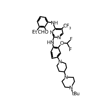 CCc1cccc(Nc2nc(Nc3ccc(N4CCC(N5CCN(C(C)(C)C)CC5)CC4)cc3OC(F)F)ncc2C(F)(F)F)c1C=O